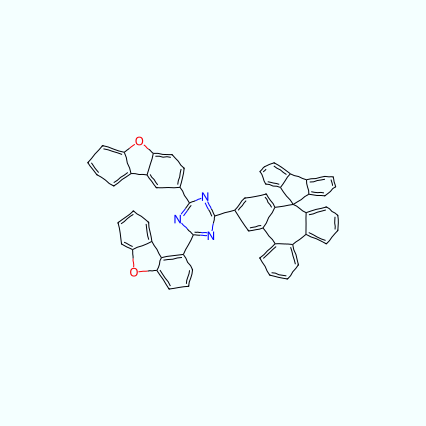 c1ccc2c(c1)-c1ccccc1C1(c3ccc(-c4nc(-c5ccc6oc7ccccc7c6c5)nc(-c5cccc6oc7ccccc7c56)n4)cc3-2)c2ccccc2-c2ccccc21